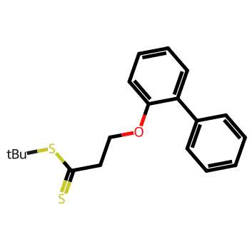 CC(C)(C)SC(=S)CCOc1ccccc1-c1ccccc1